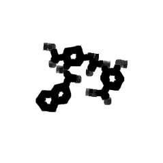 O=C(Nc1ccc(C(=O)O)c(NC(=O)c2ccc3ccccc3c2)c1)Nc1cc(C(=O)O)ccc1O